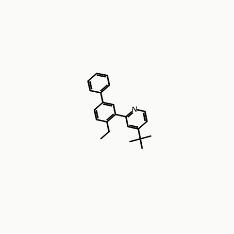 CCc1ccc(-c2ccccc2)cc1-c1cc(C(C)(C)C)ccn1